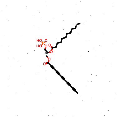 CC#CC#CC#CC#CC#CC(=O)OC[C@H](COP(=O)(O)O)OC(=O)CCCCCCCCCCC